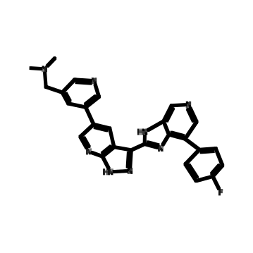 CN(C)Cc1cncc(-c2cnc3[nH]nc(-c4nc5c(-c6ccc(F)cc6)cncc5[nH]4)c3c2)c1